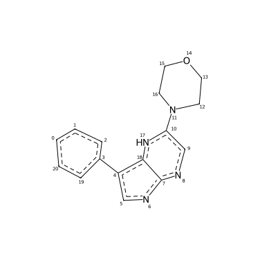 c1ccc(-c2cnc3ncc(N4CCOCC4)[nH]c2-3)cc1